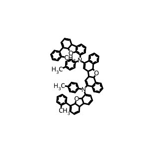 Cc1ccc(N(C2=CC3C(OC4c5ccccc5C(N(c5ccc(C)cc5)c5cccc6c5OC5C(c7ccccc7C)=CC=CC65)=CC43)c3ccccc32)C2=CC=CC3C2OC2C(c4ccccc4C)=CC=CC23)cc1